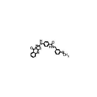 COc1cccc(CNC(=O)c2ccc(Nc3nn4c(=O)c5ccccc5nc4s3)cc2)c1